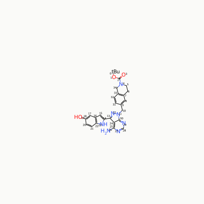 CC(C)(C)OC(=O)N1CCc2cc(Cn3nc(-c4cc5cc(O)ccc5[nH]4)c4c(N)ncnc43)ccc2C1